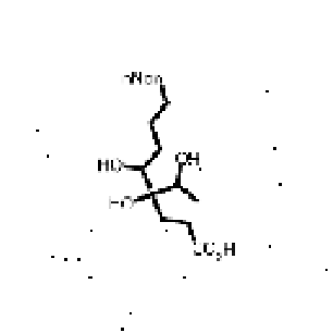 CCCCCCCCCCCCC(O)C(O)(CCC(=O)O)C(C)O